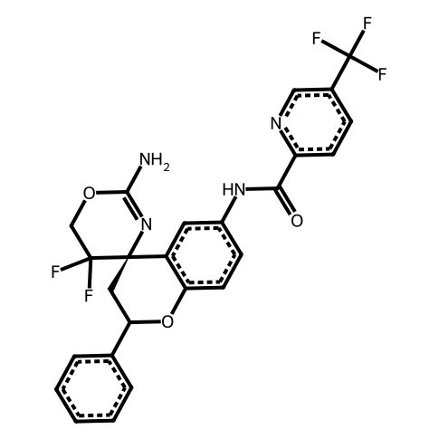 NC1=N[C@@]2(CC(c3ccccc3)Oc3ccc(NC(=O)c4ccc(C(F)(F)F)cn4)cc32)C(F)(F)CO1